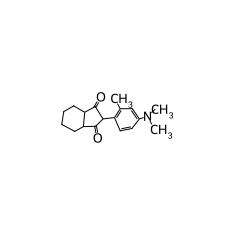 Cc1cc(N(C)C)ccc1C1C(=O)C2CCCCC2C1=O